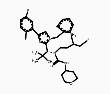 CC(C)(C)[C@H](c1nc(-c2cc(F)ccc2F)cn1Cc1ccccc1)N(CCC(N)CF)C(=O)NC1CCOCC1